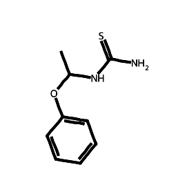 CC(NC(N)=S)Oc1ccccc1